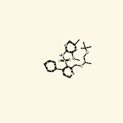 COc1nc(C)cnc1NS(=O)(=O)c1c(-c2ccccc2)ccnc1COC(C)COC(C)(C)C